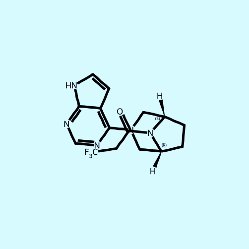 O=C(CC(F)(F)F)N1[C@@H]2CC[C@H]1CN(c1ncnc3[nH]ccc13)C2